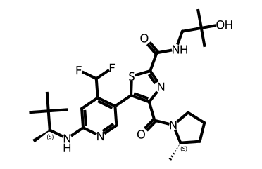 C[C@H](Nc1cc(C(F)F)c(-c2sc(C(=O)NCC(C)(C)O)nc2C(=O)N2CCC[C@@H]2C)cn1)C(C)(C)C